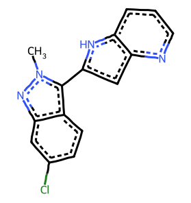 Cn1nc2cc(Cl)ccc2c1-c1cc2ncccc2[nH]1